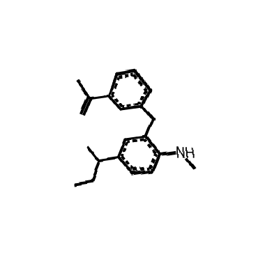 C=C(C)c1cccc(Cc2cc(C(C)CC)ccc2NC)c1